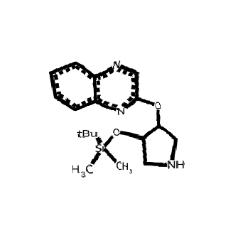 CC(C)(C)[Si](C)(C)OC1CNCC1Oc1cnc2ccccc2n1